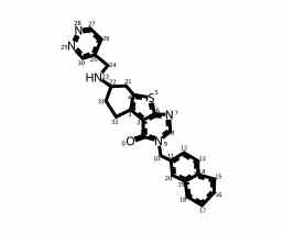 O=c1c2c3c(sc2ncn1Cc1ccc2ccccc2c1)CC(NCc1ccnnc1)CC3